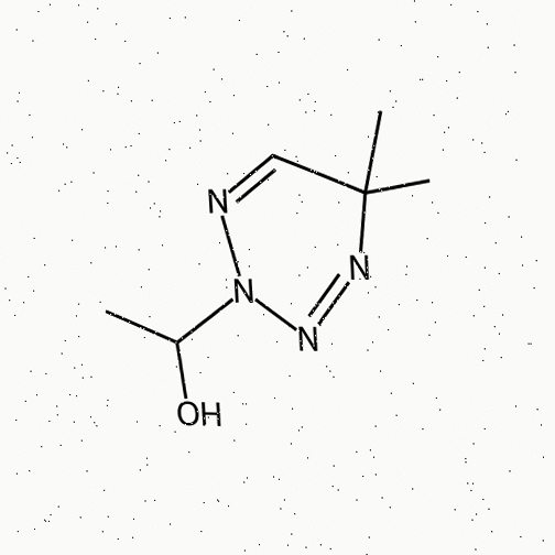 CC(O)N1N=CC(C)(C)N=N1